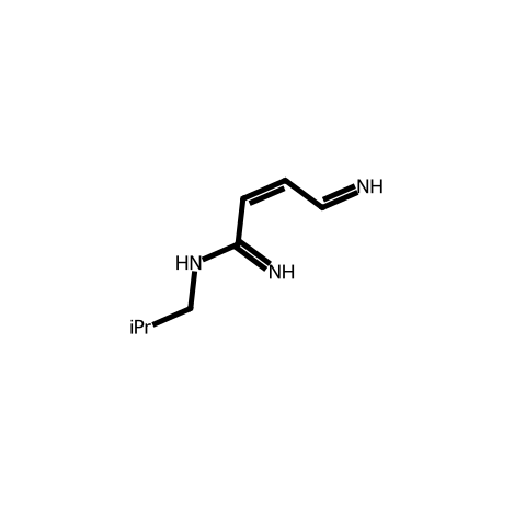 CC(C)CNC(=N)/C=C\C=N